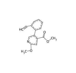 C#Cc1ccccc1-c1cnc(OC)cc1C(=O)OC